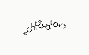 N#Cc1cc(-c2ccnc(Nc3ccc(N4CCOCC4)cc3)n2)ccc1NC(=O)NC1CCC(O)CC1